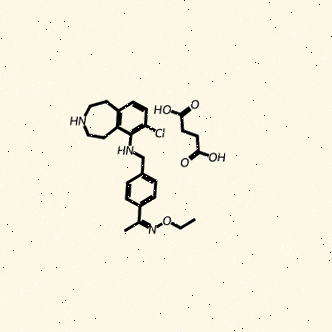 CCO/N=C(/C)c1ccc(CNc2c(Cl)ccc3c2CCNCC3)cc1.O=C(O)CCC(=O)O